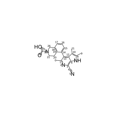 Cc1nc(C#N)c2[nH]c(C)c(C)c2c1-c1cccc2c1CCN(C(=O)O)C2